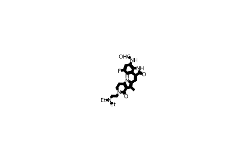 CCN(CC)CCN1CCc2[nH]c(/C=C3/C(=O)Nc4c(NC=O)cc(F)cc43)c(C)c2C1=O